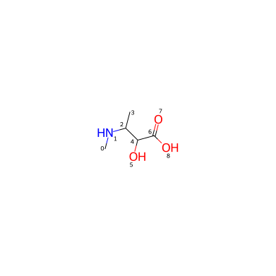 CNC(C)C(O)C(=O)O